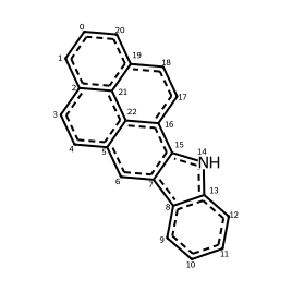 c1cc2ccc3cc4c5ccccc5[nH]c4c4ccc(c1)c2c34